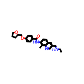 CCNCc1cnc2c(C)c(NC(=O)c3ccc(OCC4CCCO4)cc3)ccc2c1